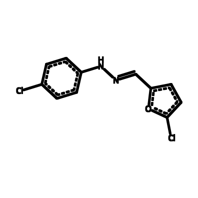 Clc1ccc(N/N=C/c2ccc(Cl)o2)cc1